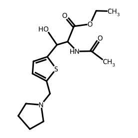 CCOC(=O)C(NC(C)=O)C(O)c1ccc(CN2CCCC2)s1